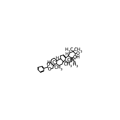 CC1(C)C[C@@H]2C3=CC[C@@H]4[C@@]5(C)CCC6OC(c7ccccc7)OC[C@@]6(C)C5CC[C@@]4(C)[C@]3(C)CC[C@@]2(C)O[C@@H]1O